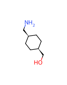 NC[C@H]1CC[C@@H](CO)CC1